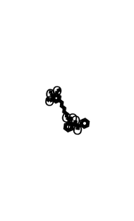 COc1cc(CCCCCOC(=O)C2CCCCN2C(=O)C(=O)C2CCCCC2)cc(OC)c1OC